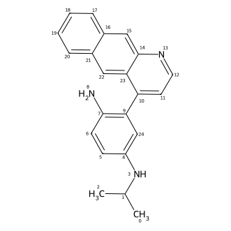 CC(C)Nc1ccc(N)c(-c2ccnc3cc4ccccc4cc23)c1